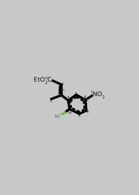 CCOC(=O)/C=C(\C)c1cc([N+](=O)[O-])ccc1F